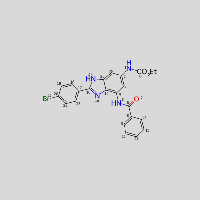 CCOC(=O)Nc1cc(NC(=O)c2ccccc2)c2nc(-c3ccc(Br)cc3)[nH]c2c1